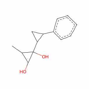 CC1C(O)C1(O)C1CC1c1ccccc1